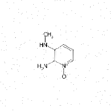 CNc1ccc[n+]([O-])c1N